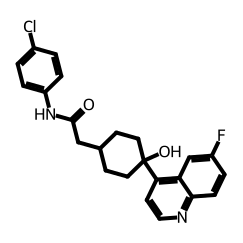 O=C(CC1CCC(O)(c2ccnc3ccc(F)cc23)CC1)Nc1ccc(Cl)cc1